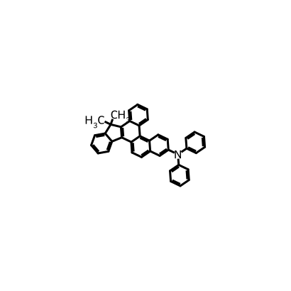 CC1(C)c2ccccc2-c2c1c1ccccc1c1c2ccc2cc(N(c3ccccc3)c3ccccc3)ccc21